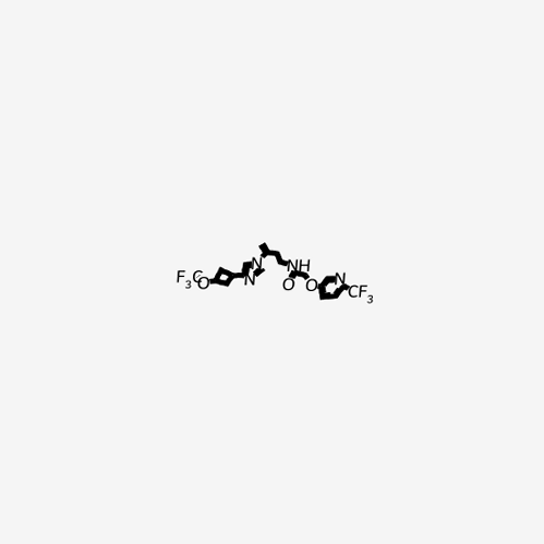 C=C(CCNC(=O)COc1ccc(C(F)(F)F)nc1)n1cnc(C2CC(OC(F)(F)F)C2)c1